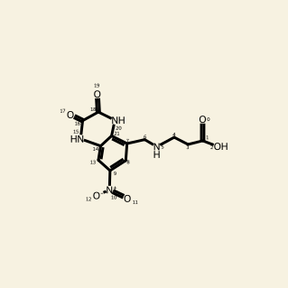 O=C(O)CCNCc1cc([N+](=O)[O-])cc2[nH]c(=O)c(=O)[nH]c12